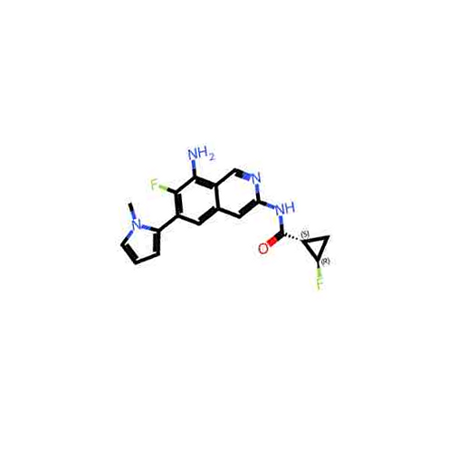 Cn1cccc1-c1cc2cc(NC(=O)[C@@H]3C[C@H]3F)ncc2c(N)c1F